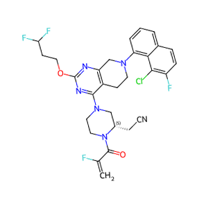 C=C(F)C(=O)N1CCN(c2nc(OCCC(F)F)nc3c2CCN(c2cccc4ccc(F)c(Cl)c24)C3)C[C@@H]1CC#N